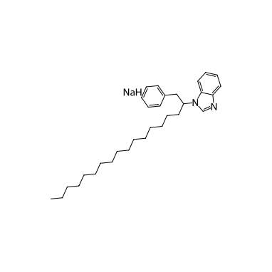 CCCCCCCCCCCCCCCCC(Cc1ccccc1)n1cnc2ccccc21.[NaH]